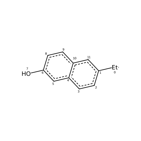 C[CH]c1ccc2cc(O)ccc2c1